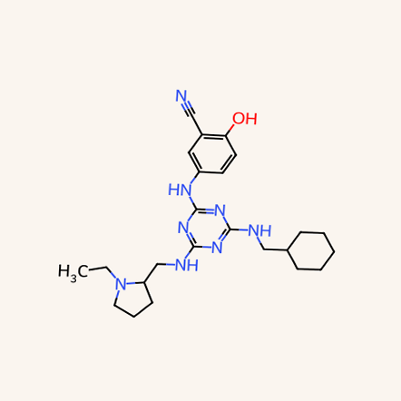 CCN1CCCC1CNc1nc(NCC2CCCCC2)nc(Nc2ccc(O)c(C#N)c2)n1